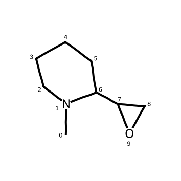 CN1CCCCC1C1CO1